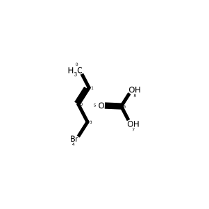 CC=CCBr.O=C(O)O